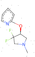 CN1C[C@H](Oc2ccccn2)C(F)(F)C1